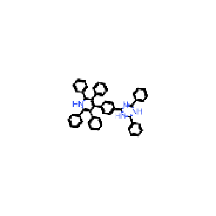 c1ccc(C2=NC(c3ccc(C4=C(c5ccccc5)C(c5ccccc5)NC(c5ccccc5)=C4c4ccccc4)cc3)NC(c3ccccc3)N2)cc1